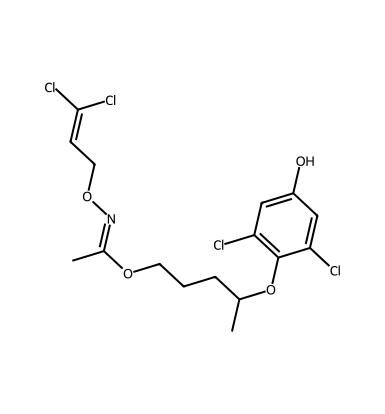 CC(=NOCC=C(Cl)Cl)OCCCC(C)Oc1c(Cl)cc(O)cc1Cl